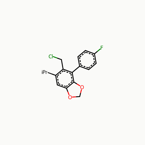 CC(C)c1cc2c(c(-c3ccc(F)cc3)c1CCl)OCO2